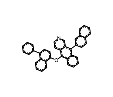 c1ccc(-c2ccc(Oc3c4ccccc4c(-c4ccc5ccccc5c4)c4cnccc34)c3ccccc23)cc1